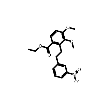 CCOC(=O)c1ccc(OC)c(OC)c1CCc1cccc([N+](=O)[O-])c1